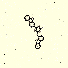 Cc1nc(Cc2cccc3c2sc2ccccc23)nc(-c2ccc3c(c2)oc2ccccc23)n1